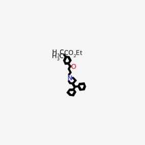 CCOC(=O)C(C)(C)c1ccc(C(=O)CCCN2CCC(=C(c3ccccc3)c3ccccc3)CC2)cc1